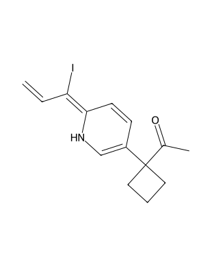 C=C/C(I)=C1/C=CC(C2(C(C)=O)CCC2)=CN1